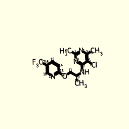 Cc1nc(C)c(Cl)c(N[C@@H](C)COc2ccc(C(F)(F)F)cn2)n1